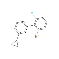 Fc1cccc(Br)c1-c1cccc(C2CC2)c1